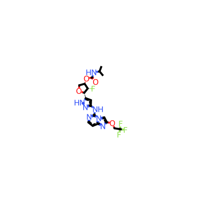 CC(C)NC(=O)O[C@H]1CO[C@@H](c2cc(Nc3nccc4nc(OCC(F)(F)F)cn34)n[nH]2)[C@H]1F